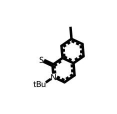 Cc1ccc2ccn(C(C)(C)C)c(=S)c2c1